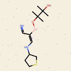 CC(C)(O)C(C)(C)OB/C(C=N)=C/NC1CCSC1